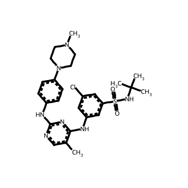 Cc1cnc(Nc2ccc(N3CCN(C)CC3)cc2)nc1Nc1cc(Cl)cc(S(=O)(=O)NC(C)(C)C)c1